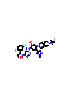 COc1cc(N2CCC3(CC2)CCN(C(C)(C)CF)CC3)c(-c2cnn(C)c2)cc1Nc1cc(N2OCC[C@@H]2c2cc(F)ccc2F)ncn1